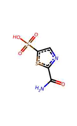 NC(=O)c1ncc(S(=O)(=O)O)s1